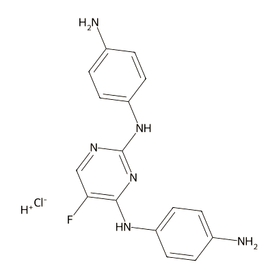 Nc1ccc(Nc2ncc(F)c(Nc3ccc(N)cc3)n2)cc1.[Cl-].[H+]